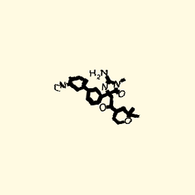 [C-]#[N+]c1cccc(-c2ccc3c(c2)C2(CC(C4CCOC(C)(C)C4)O3)N=C(N)N(C)C2=O)c1